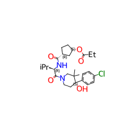 CCC(=O)O[C@H]1CC[C@@H](C(=O)N[C@@H](C(=O)N2CC[C@](O)(c3ccc(Cl)cc3)C(C)(C)C2)C(C)C)C1